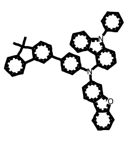 CC1(C)c2ccccc2-c2cc(-c3ccc(N(c4ccc5c(c4)oc4ccccc45)c4cccc5c4c4ccccc4n5-c4ccccc4)cc3)ccc21